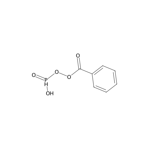 O=C(OO[PH](=O)O)c1ccccc1